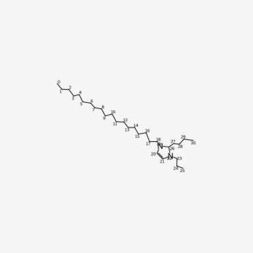 CCCCCCCCCCCCCCCCCCCN1C=CN(CCC)C1CCCC